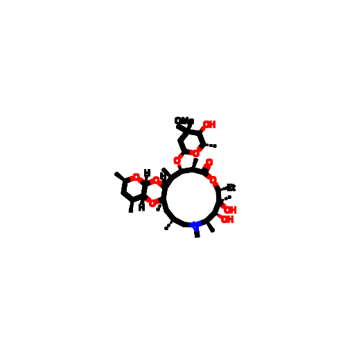 CC[C@H]1OC(=O)[C@H](C)[C@@H](O[C@H]2C[C@@](C)(OC)[C@@H](O)[C@H](C)O2)[C@H](C)[C@H]2O[C@@H]3O[C@H](C)C[C@H](C)[C@H]3O[C@]2(C)C[C@@H](C)CN(C)[C@H](C)[C@@H](O)[C@]1(C)O